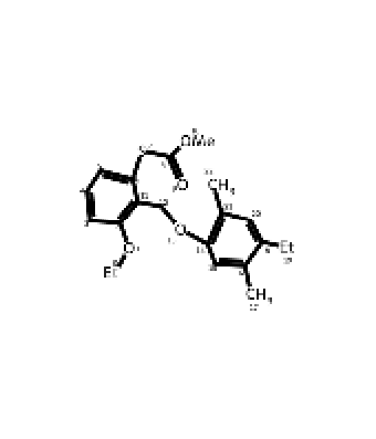 CCOc1cccc(SC(=O)OC)c1COc1cc(C)c(CC)cc1C